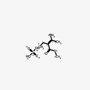 CCC(C(=O)OC)=C(C)N.O=S(=O)(O)O